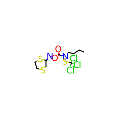 CCCCN(SC(Cl)(Cl)Cl)C(=O)ON=C1CSCCS1